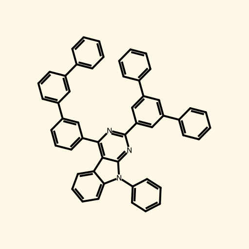 c1ccc(-c2cccc(-c3cccc(-c4nc(-c5cc(-c6ccccc6)cc(-c6ccccc6)c5)nc5c4c4ccccc4n5-c4ccccc4)c3)c2)cc1